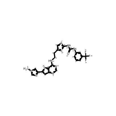 Cn1cnc(-c2cc3ncnc(NCCc4cnc(NC(=O)Nc5cccc(C(F)(F)F)c5)s4)c3s2)c1